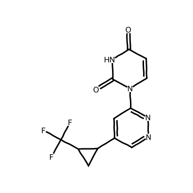 O=c1ccn(-c2cc(C3CC3C(F)(F)F)cnn2)c(=O)[nH]1